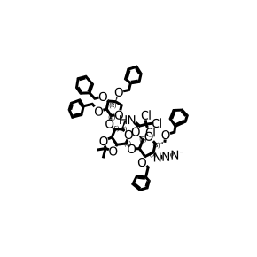 C[C@H]1O[C@@H](OC2C(OCc3ccccc3)[C@@H](N=[N+]=[N-])[C@@H](COCc3ccccc3)O[C@@H]2OC(=N)C(Cl)(Cl)Cl)C2OC(C)(C)OC2[C@H]1O[C@@H]1OC[C@@H](OCc2ccccc2)C(OCc2ccccc2)C1OCc1ccccc1